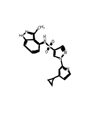 Cc1n[nH]c2cccc(NS(=O)(=O)c3cnn(-c4cc(C5CC5)ccn4)c3)c12